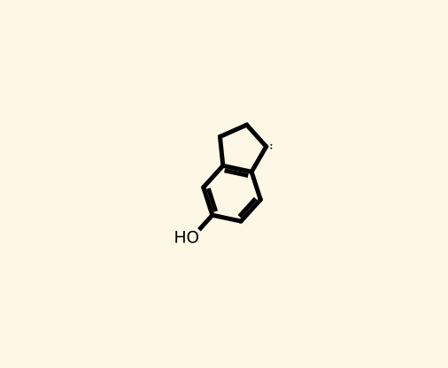 Oc1ccc2c(c1)CC[C]2